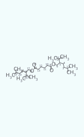 CC(C)CCC(COC(=O)CCCCC(=O)OCC(CCC(C)C)C(C)C)C(C)C